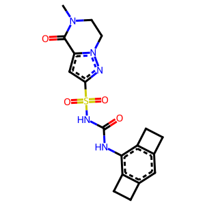 CN1CCn2nc(S(=O)(=O)NC(=O)Nc3c4c(cc5c3CC5)CC4)cc2C1=O